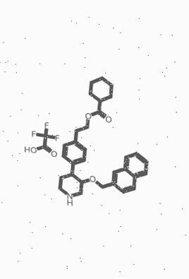 O=C(O)C(F)(F)F.O=C(OCCc1ccc(C2CCNCC2OCc2ccc3ccccc3c2)cc1)C1CCCCC1